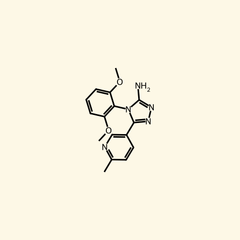 COc1cccc(OC)c1-n1c(N)nnc1-c1ccc(C)nc1